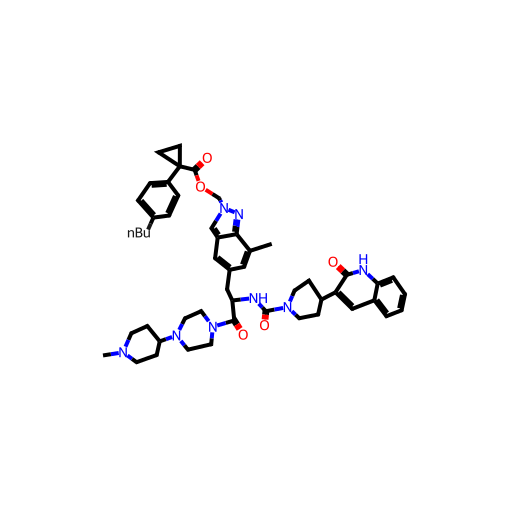 CCCCc1ccc(C2(C(=O)OCn3cc4cc(CC(NC(=O)N5CCC(c6cc7ccccc7[nH]c6=O)CC5)C(=O)N5CCN(C6CCN(C)CC6)CC5)cc(C)c4n3)CC2)cc1